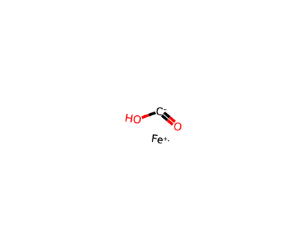 O=[C-]O.[Fe+]